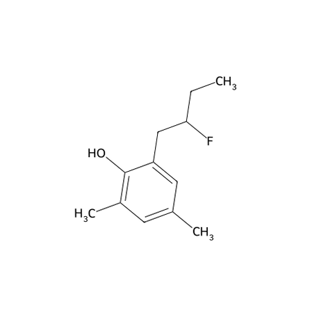 CCC(F)Cc1cc(C)cc(C)c1O